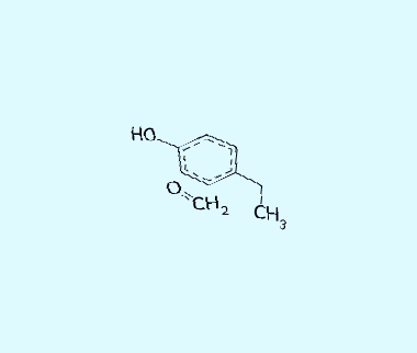 C=O.CCc1ccc(O)cc1